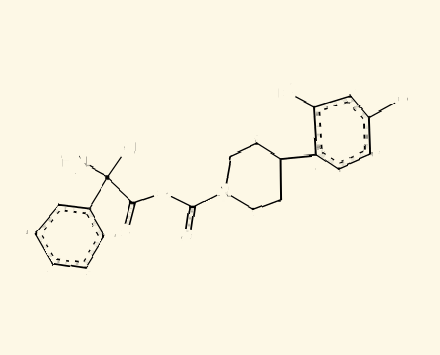 CC(N)(C(=O)OC(=O)N1CCC(c2ccc(O)cc2O)CC1)c1ccccc1